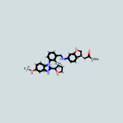 COC(=O)C[C@@H]1COc2cc(NCc3cccc(-n4c(C5CCCO5)nc5cc(OC(F)(F)F)ccc54)c3C)ccc21